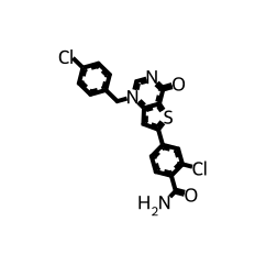 NC(=O)c1ccc(-c2cc3c(s2)c(=O)ncn3Cc2ccc(Cl)cc2)cc1Cl